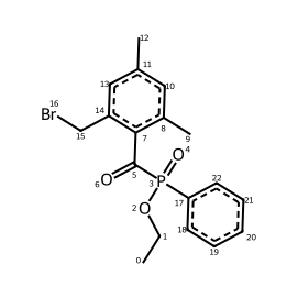 CCOP(=O)(C(=O)c1c(C)cc(C)cc1CBr)c1ccccc1